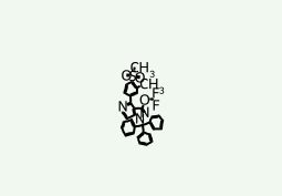 Cc1cc(-c2nccc3c2c(OC(F)F)nn3C(c2ccccc2)(c2ccccc2)c2ccccc2)ccc1S(C)(=O)=O